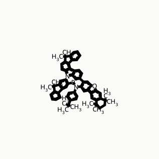 CC(C)(C)c1ccc(N2B3c4cc5c(cc4-n4c6ccc7c(c6c6ccc(c3c64)-c3cc4oc6cc8c(cc6c4cc32)C(C)(C)CCC8(C)C)-c2ccccc2C7(C)C)C(C)(C)c2ccccc2-5)cc1